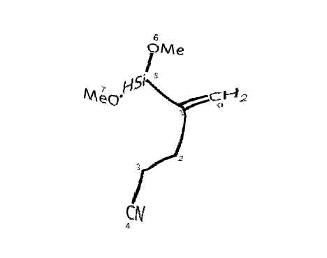 C=C(CCC#N)[SiH](OC)OC